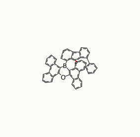 c1ccc(-c2cccc3c2sc2c(B4c5c(c6ccccc6c6ccccc56)Oc5c4c4ccccc4c4ccccc54)cccc23)cc1